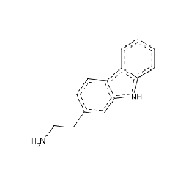 NCCc1ccc2c(c1)[nH]c1ccccc12